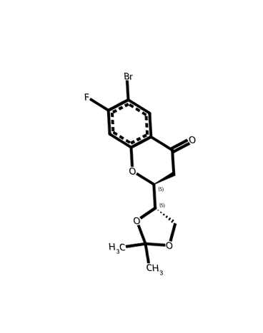 CC1(C)OC[C@@H]([C@@H]2CC(=O)c3cc(Br)c(F)cc3O2)O1